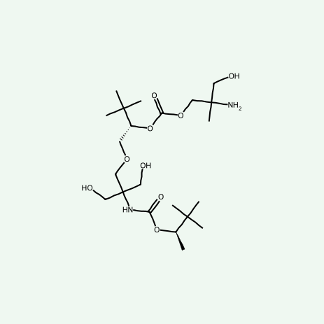 C[C@@H](OC(=O)NC(CO)(CO)COC[C@@H](OC(=O)OCC(C)(N)CO)C(C)(C)C)C(C)(C)C